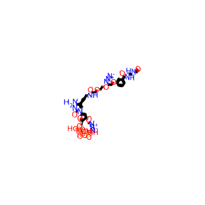 [N-]=[N+]=NCO[C@@H]1C[C@H](n2cc(C#CCNC(=O)COCCOC(COc3cccc(C(=O)NCCNC=O)c3)N=[N+]=[N-])c(N)nc2=O)O[C@@H]1COP(=O)(O)OP(=O)(O)OP(=O)(O)O